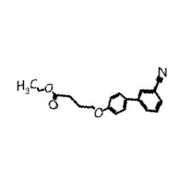 CCOC(=O)CCCOc1ccc(-c2cccc(C#N)c2)cc1